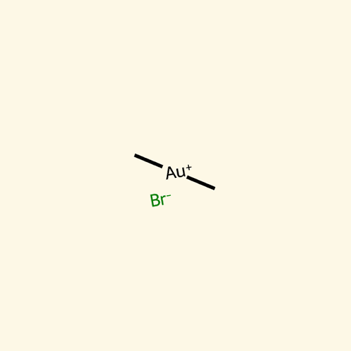 [Br-].[CH3][Au+][CH3]